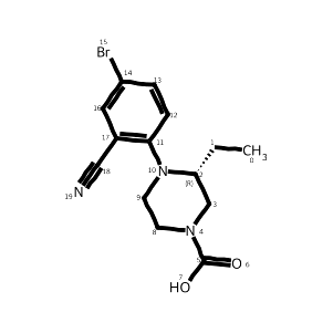 CC[C@@H]1CN(C(=O)O)CCN1c1ccc(Br)cc1C#N